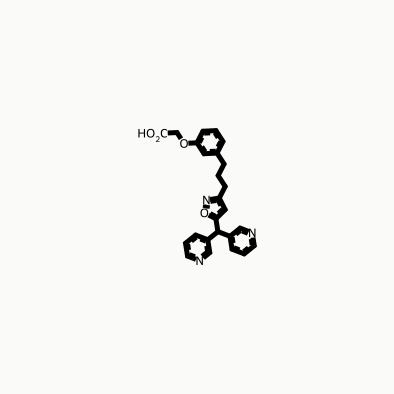 O=C(O)COc1cccc(CCCc2cc(C(c3cccnc3)c3cccnc3)on2)c1